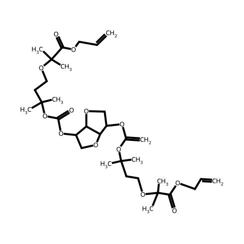 C=CCOC(=O)C(C)(C)OCCC(C)(C)OC(=C)OC1COC2C(OC(=O)OC(C)(C)CCOC(C)(C)C(=O)OCC=C)COC12